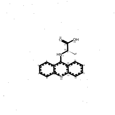 C[C@H](Nc1c2ccccc2nc2ccccc12)C(=O)O